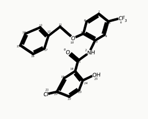 O=C(Nc1cc(C(F)(F)F)ccc1OCc1ccccc1)c1cc(Cl)ccc1O